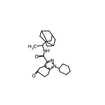 CC(NC(=O)c1nn(C2CCCCC2)c2c1CC(=O)CC2)C12CC3CC(CC(C3)C1)C2